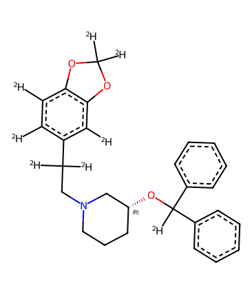 [2H]c1c([2H])c(C([2H])([2H])CN2CCC[C@@H](OC([2H])(c3ccccc3)c3ccccc3)C2)c([2H])c2c1OC([2H])([2H])O2